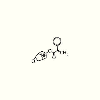 C=C(C(=O)OC1CC2NC(C1)C1OC21)c1ccccc1